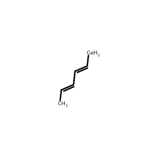 CC=CC=[CH][GeH3]